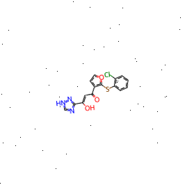 O=C(C=C(O)c1nc[nH]n1)c1ccoc1Sc1ccccc1Cl